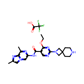 CCOc1nc(N2CC3(CCNCC3)C2)ncc1C(=O)Nc1cn2cc(C)nc2c(C)n1.O=C(O)C(F)(F)F